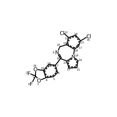 FC1(F)Oc2ccc(C3=NCc4c(Cl)cc(Cl)cc4-n4cccc43)cc2O1